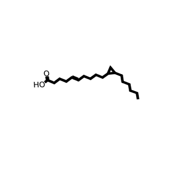 CCCCCCC1CC1CCCCC=CCCCC(=O)O